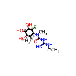 CCNC(=N)NC(=O)N(C)c1c(C)c(O)c(O)c(O)c1Cl